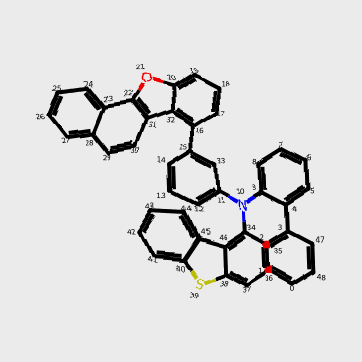 c1ccc(-c2ccccc2N(c2cccc(-c3cccc4oc5c6ccccc6ccc5c34)c2)c2cccc3sc4ccccc4c23)cc1